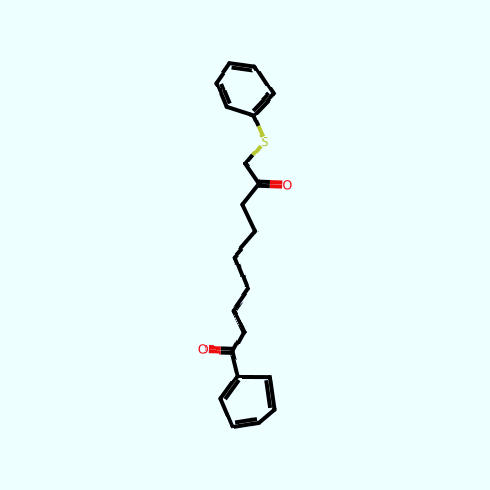 O=C(CCCCCCC(=O)c1ccccc1)CSc1ccccc1